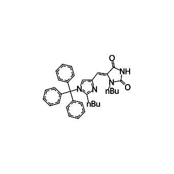 CCCCc1nc(C=C2C(=O)NC(=O)N2CCCC)cn1C(c1ccccc1)(c1ccccc1)c1ccccc1